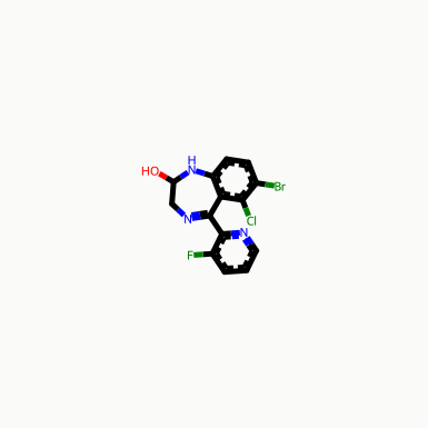 OC1CN=C(c2ncccc2F)c2c(ccc(Br)c2Cl)N1